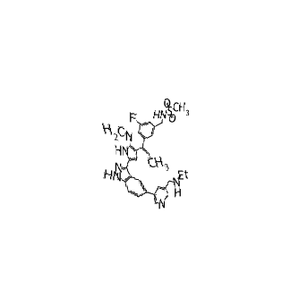 C=Nc1[nH]c(-c2n[nH]c3ccc(-c4cncc(CNCC)c4)cc23)cc1/C(=C\C)c1cc(F)cc(CNS(C)(=O)=O)c1